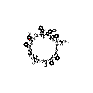 CCCC[C@H]1C(=O)N(C)CC(=O)N[C@@H](CC(=O)O)C(=O)N[C@@H](C(C)C)C(=O)N(C)[C@@H](Cc2ccccc2)C(=O)N[C@@H](Cc2ccc(O)cc2)C(=O)N(C)CC(=O)N[C@@H](Cc2c[nH]c3ccccc23)C(=O)N[C@@H](Cc2ccc(O)cc2)C(=O)N[C@@H](Cc2ccccc2)C(=O)N[C@H](C(=O)NCC(N)=O)CSCC(=O)N[C@@H](Cc2ccccc2)C(=O)N(C)[C@@H](Cc2ccccc2)C(=O)N1C